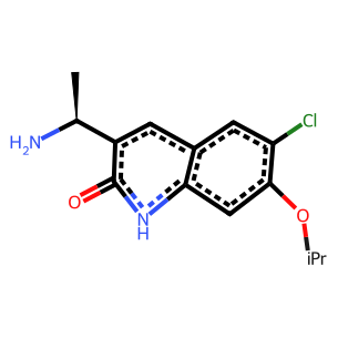 CC(C)Oc1cc2[nH]c(=O)c([C@H](C)N)cc2cc1Cl